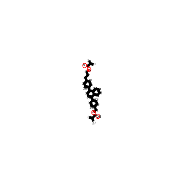 C=C(C)C(=O)OCCCc1ccc(-c2ccc(-c3ccc(COC(=O)C(=C)C)cc3)c3ccccc23)cc1